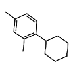 Cc1ccc(C2CCCCC2)c(C)c1